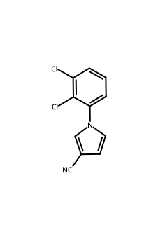 N#Cc1ccn(-c2cccc(Cl)c2Cl)c1